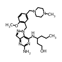 CCCC(CCO)Nc1nc(N)nc2cnn(Cc3cc(CN4CCN(C)CC4)ccc3OC)c12